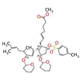 COC(=O)CCCC=CC[C@@H]1[C@@H](C=C[C@@H](OC2CCCCO2)C(C)CC=C(C)C)[C@H](OC2CCCCO2)C[C@H]1OS(=O)(=O)c1ccc(C)cc1